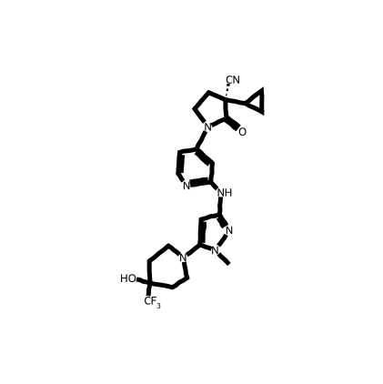 Cn1nc(Nc2cc(N3CC[C@@](C#N)(C4CC4)C3=O)ccn2)cc1N1CCC(O)(C(F)(F)F)CC1